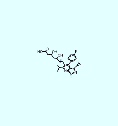 CC(C)c1nc2c(c(C3CC3)nn2C)c(-c2ccc(F)cc2)c1/C=C/C(O)CC(O)CC(=O)O